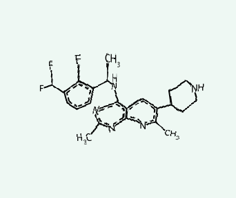 Cc1nc(N[C@H](C)c2cccc(C(F)F)c2F)c2cc(C3CCNCC3)c(C)nc2n1